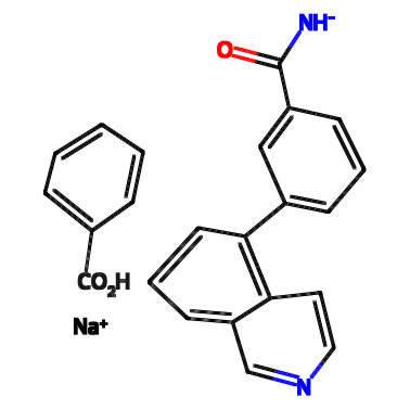 O=C(O)c1ccccc1.[NH-]C(=O)c1cccc(-c2cccc3cnccc23)c1.[Na+]